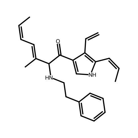 C=Cc1c(C(=O)C(NCCc2ccccc2)/C(C)=C/C=C\C)c[nH]c1/C=C\C